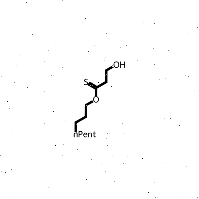 CCCCCCCCOC(=S)CCO